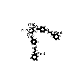 CCCOC(=O)[C@H](OC(=O)c1ccc(OCCCC2(C(C)CCC)CCCCC2)cc1)[C@@H](OC(=O)c1ccc(OCCCC2(C(C)CCC)CCCCC2)cc1)C(=O)OCCC